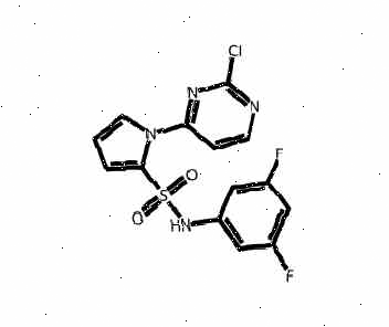 O=S(=O)(Nc1cc(F)cc(F)c1)c1cccn1-c1ccnc(Cl)n1